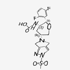 CS(=O)(=O)n1cc2c(n1)CN([C@H]1CO[C@@H](c3cc(F)ccc3F)[C@@H](NC(=O)O)C1)C2